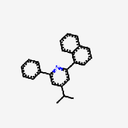 CC(C)c1cc(-c2ccccc2)nc(-c2cccc3ccccc23)c1